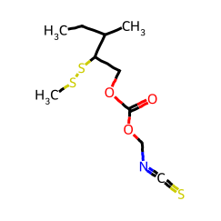 CCC(C)C(COC(=O)OCN=C=S)SSC